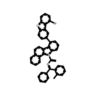 C=C(/N=C(/c1ccccc1)c1ccccc1C)n1c2cccc(-c3ccc4oc5cccc(Br)c5c4c3)c2c2ccc3ccccc3c21